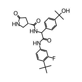 CC(C)(C)c1ccc(NC(=O)C(NC(=O)[C@H]2CNC(=O)C2)c2ccc(C(C)(C)O)cc2)cc1F